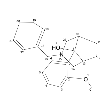 COc1ccccc1C1(O)C2CCC1CN(Cc1ccccc1)C2